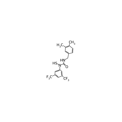 Cc1ccc(CNC(=O)N(S)c2cc(C(F)(F)F)cc(C(F)(F)F)c2)cc1C